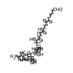 CC(C)(COP(=O)(O)OP(=O)(O)OC[C@H]1O[C@@H](n2cnc3c(N)ncnc32)[C@H](O)[C@@H]1OP(=O)(O)O)[C@@H](O)C(=O)NCCC(=O)NCCSC(=O)C(=O)CCCCCC=O